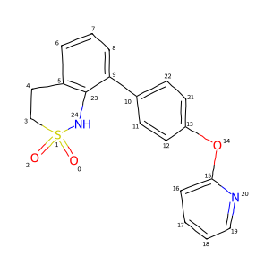 O=S1(=O)CCc2cccc(-c3ccc(Oc4ccccn4)cc3)c2N1